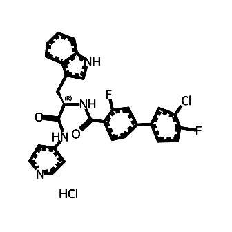 Cl.O=C(N[C@H](Cc1c[nH]c2ccccc12)C(=O)Nc1ccncc1)c1ccc(-c2ccc(F)c(Cl)c2)cc1F